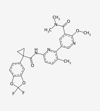 COc1ncc(-c2nc(NC(=O)C3(c4ccc5c(c4)OC(F)(F)O5)CC3)ccc2C)cc1C(=O)N(C)C